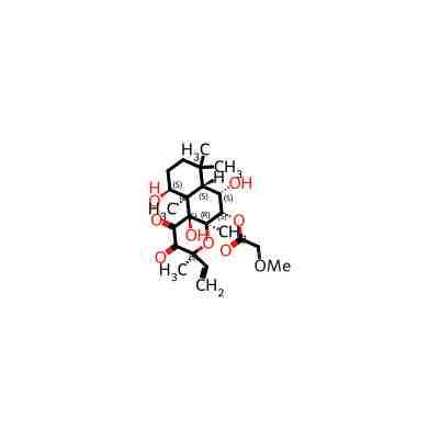 C=C[C@]1(C)O[C@]2(C)[C@@H](OC(=O)COC)[C@@H](O)[C@H]3C(C)(C)CC[C@H](O)[C@]3(C)[C@@]2(O)C(=O)C1=O